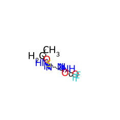 C=C(/C=C\C=C/C)CC(=O)Nc1nnc(CCCCc2ccc(NC(=O)Cc3cccc(OC(F)(F)F)c3)nn2)s1